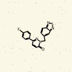 O=c1ccc(-c2ccc(F)cc2)nn1Cc1ccc2nsnc2c1